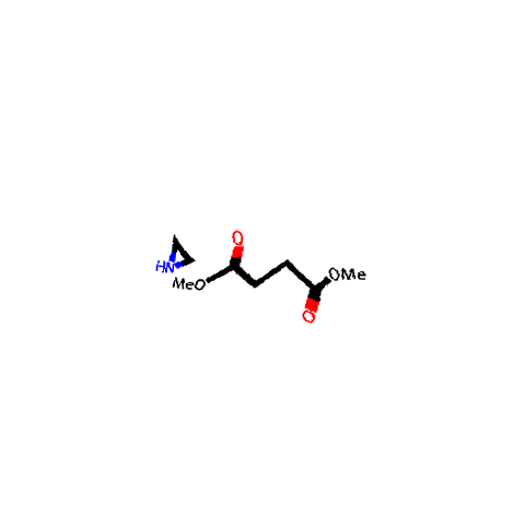 C1CN1.COC(=O)CCC(=O)OC